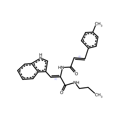 CCCNC(=O)/C(=C/c1c[nH]c2ccccc12)NC(=O)/C=C/c1ccc(C)cc1